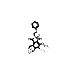 CCc1c(OC)c(C)c(OC)c2c1C(=O)N(CSc1ccccc1)S2(=O)=O